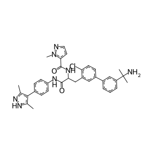 Cc1n[nH]c(C)c1-c1ccc(NC(=O)C(Cc2cc(-c3cccc(C(C)(C)N)c3)ccc2Cl)NC(=O)c2ccnn2C)cc1